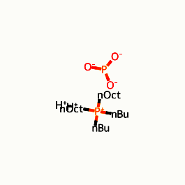 CCCCCCCC[P+](CCCC)(CCCC)CCCCCCCC.[H+].[H+].[O-]P([O-])[O-]